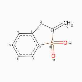 C=C1Cc2ccccc2S1(=O)=O